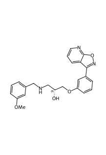 COc1cccc(CNC[C@@H](O)COc2cccc(-c3noc4ncccc34)c2)c1